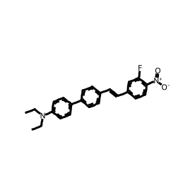 CCN(CC)c1ccc(-c2ccc(C=Cc3ccc([N+](=O)[O-])c(F)c3)cc2)cc1